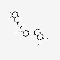 COc1cc2nccc(Oc3ccc(N(S)C(=O)NC(=O)Cc4c(F)ccc(F)c4F)cc3)c2cc1OC